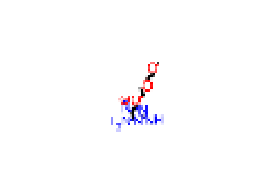 CNc1nc(N)c(N=O)c(OCCOCCOC)n1